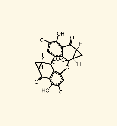 O=C1c2c(O)c(Cl)cc3c2[C@]2(COC[C@@]4(O3)c3c2cc(Cl)c(O)c3C(=O)[C@H]2C[C@H]24)[C@@H]2C[C@H]12